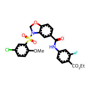 CCOC(=O)c1ccc(NC(=O)c2ccc3c(c2)N(S(=O)(=O)c2cc(Cl)ccc2OC)CO3)cc1F